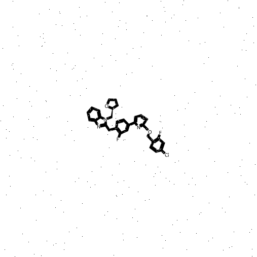 Fc1cc(Cl)ccc1COc1cccc(-c2ccc(Cc3nc4ccccc4n3C[C@@H]3CCCO3)c(F)c2)n1